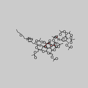 CCCOCCn1cc(CO[C@@H]2O[C@H](COC(C)=O)[C@@H](O[C@H]3O[C@H](COC(C)=O)[C@@H](O[C@H]4O[C@H](C)[C@@H](N(C(C)=O)[C@H]5C=C(COC(C)=O)[C@@H](OC(C)=O)[C@H](OC(C)=O)[C@H]5OC(C)=O)[C@H](OC(C)=O)[C@H]4OC(C)=O)[C@H](OC(C)=O)[C@H]3OC(C)=O)[C@H](OC(C)=O)[C@H]2OC(C)=O)nn1